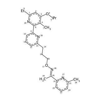 CCc1cc(OC(C)C)c(C)c(-c2cccc(CCCO/N=C(\C)c3cccc(C)n3)n2)n1